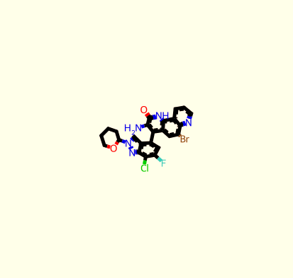 Nc1c(-c2cc(F)c(Cl)c3nn(C4CCCCO4)cc23)c2cc(Br)c3ncccc3c2[nH]c1=O